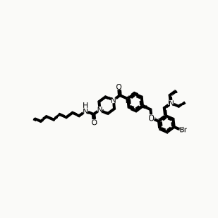 CCCCCCCCNC(=O)N1CCN(C(=O)c2ccc(COc3ccc(Br)cc3CN(CC)CC)cc2)CC1